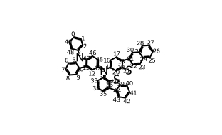 c1ccc(-n2c3ccccc3c3cc(N(c4ccc5c(c4)sc4cc6ccccc6cc45)c4cccc5c4sc4ccccc45)ccc32)cc1